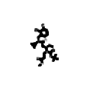 CC[C@H](CC(=O)N(Cc1cccc(Cl)c1Cl)C1CC1)N(CCC(=O)OC)C(=O)OC(C)(C)C